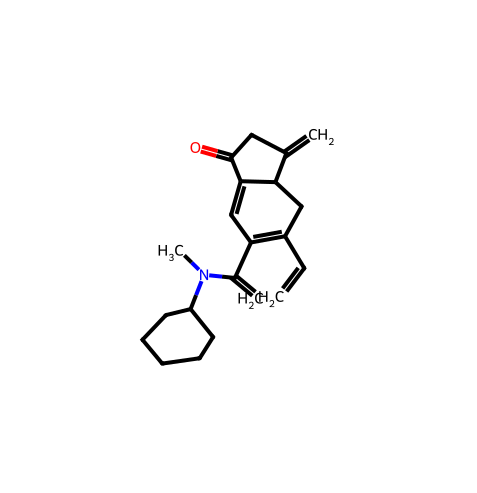 C=CC1=C(C(=C)N(C)C2CCCCC2)C=C2C(=O)CC(=C)C2C1